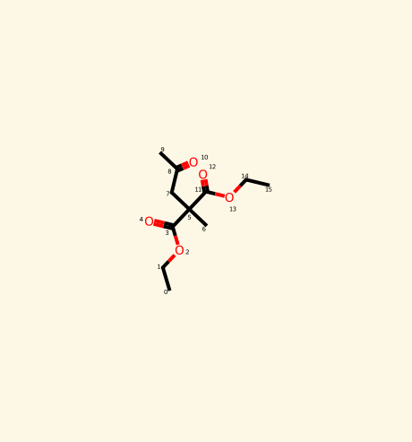 CCOC(=O)C(C)(CC(C)=O)C(=O)OCC